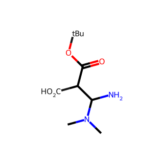 CN(C)C(N)C(C(=O)O)C(=O)OC(C)(C)C